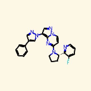 Fc1cccnc1[C@@H]1CCCN1c1ccn2ncc(-n3cc(-c4ccccc4)cn3)c2n1